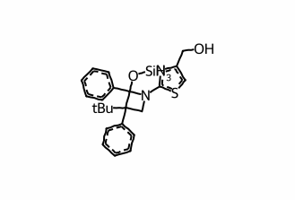 CC(C)(C)C1(c2ccccc2)CN(c2nc(CO)cs2)C1(O[SiH3])c1ccccc1